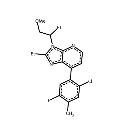 CCc1nc2c(-c3cc(F)c(C)cc3Cl)ccnc2n1C(CC)COC